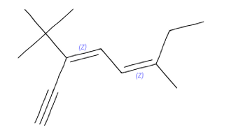 C#C/C(=C\C=C(\C)CC)C(C)(C)C